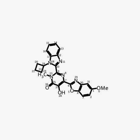 COc1ccc2oc(-c3nc(-c4nc5ccccc5n4C4CCC4)n(C)c(=O)c3O)nc2c1